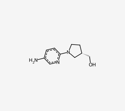 Nc1ccc(N2CC[C@H](CO)C2)nc1